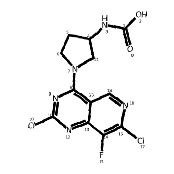 O=C(O)NC1CCN(c2nc(Cl)nc3c(F)c(Cl)ncc23)C1